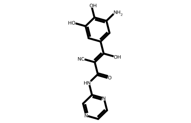 N#C/C(C(=O)Nc1cnccn1)=C(/O)c1cc(N)c(O)c(O)c1